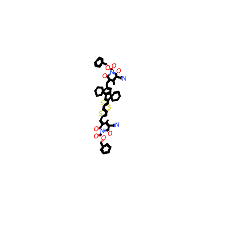 CC1=C(C#N)C(=O)N(C(=O)OCc2ccccc2)C(=O)/C1=C/C1=CC2=C(c3sc4c(sc5cc(/C=C6/C(=O)N(C(=O)OCc7ccccc7)C(=O)C(C#N)=C6C)sc54)c3C23CCCCC3)C12CCCCC2